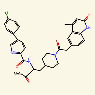 CNC(=O)C(CC1CCN(C(=O)Cc2ccc3[nH]c(=O)cc(C)c3c2)CC1)NC(=O)c1ccc(-c2ccc(Cl)cc2)cn1